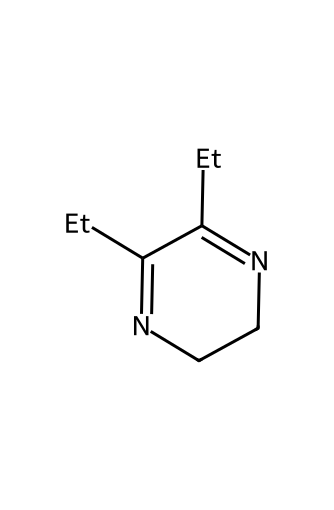 CCC1=NCCN=C1CC